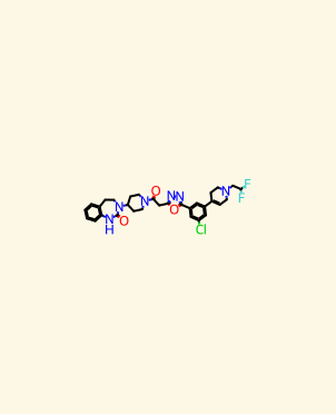 O=C(Cc1nnc(-c2cc(Cl)cc(C3=CCN(CC(F)F)CC3)c2)o1)N1CCC(N2CCc3ccccc3NC2=O)CC1